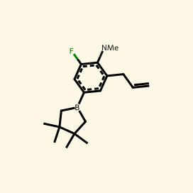 C=CCc1cc(B2CC(C)(C)C(C)(C)C2)cc(F)c1NC